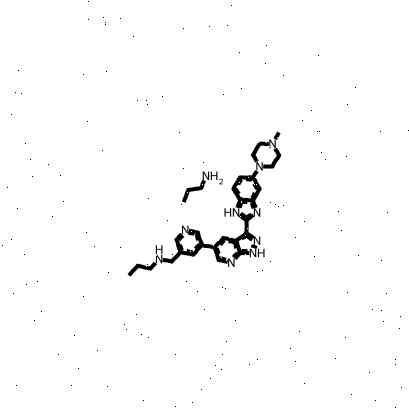 CCCN.CCCNCc1cncc(-c2cnc3[nH]nc(-c4nc5cc(N6CCN(C)CC6)ccc5[nH]4)c3c2)c1